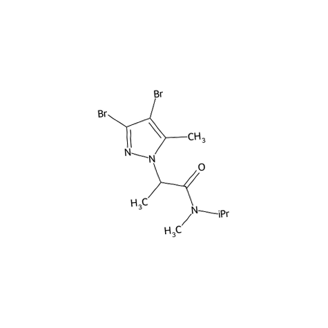 Cc1c(Br)c(Br)nn1C(C)C(=O)N(C)C(C)C